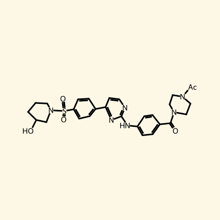 CC(=O)N1CCN(C(=O)c2ccc(Nc3nccc(-c4ccc(S(=O)(=O)N5CCCC(O)C5)cc4)n3)cc2)CC1